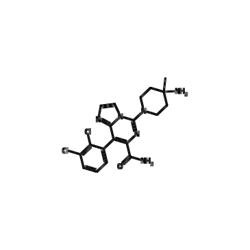 CC1(N)CCN(c2nc(C(N)=O)c(-c3cccc(Cl)c3Cl)c3nccn23)CC1